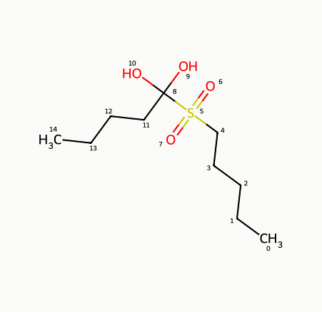 CCCCCS(=O)(=O)C(O)(O)CCCC